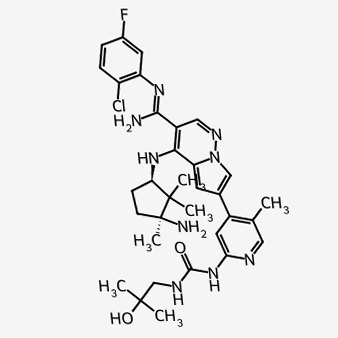 Cc1cnc(NC(=O)NCC(C)(C)O)cc1-c1cc2c(N[C@@H]3CC[C@](C)(N)C3(C)C)c(/C(N)=N/c3cc(F)ccc3Cl)cnn2c1